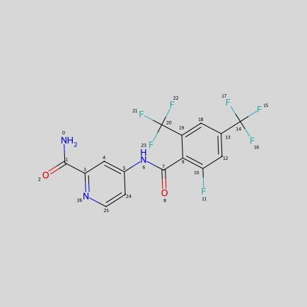 NC(=O)c1cc(NC(=O)c2c(F)cc(C(F)(F)F)cc2C(F)(F)F)ccn1